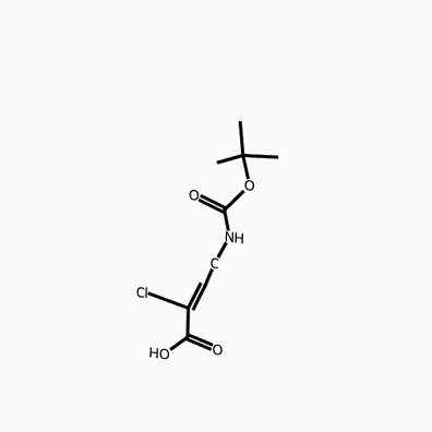 CC(C)(C)OC(=O)NCC=C(Cl)C(=O)O